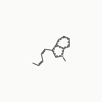 C/C=C\C=C/c1cn(C)c2ccccc12